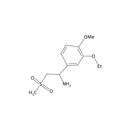 CCOc1cc(C(N)CS(C)(=O)=O)ccc1OC